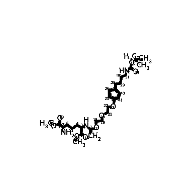 C=C(NC(CCCC(N)C(=O)OC)C(=O)OC)OCCOCCOc1ccc(CCCCNC(=O)OC(C)(C)C)cc1